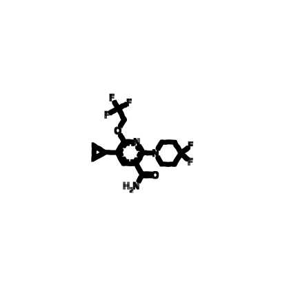 NC(=O)c1cc(C2CC2)c(OCC(F)(F)F)nc1N1CCC(F)(F)CC1